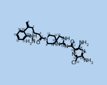 C=C(CCCC(=O)N1CCC2(CC1)CN/C(=N\C(=O)c1nc(Cl)c(N)nc1N)N2)c1ccccc1NN